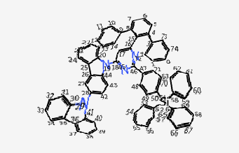 c1ccc(-c2cccc(-c3ccccc3)c2-c2cc(-n3c4ccccc4c4cc(-n5c6ccccc6c6ccccc65)ccc43)nc(-c3ccc([Si](c4ccccc4)(c4ccccc4)c4ccccc4)cc3)n2)cc1